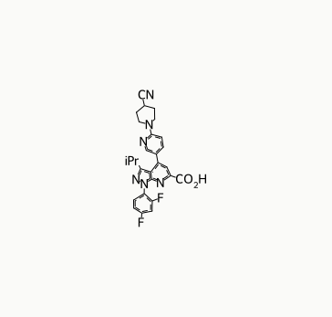 CC(C)c1nn(-c2ccc(F)cc2F)c2nc(C(=O)O)cc(-c3ccc(N4CCC(C#N)CC4)nc3)c12